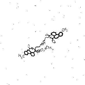 CS(=O)(=O)O.Cc1ccc2cc3c4c(cccc4c2c1)C(=O)N(CCCCNCCCN1C(=O)c2cccc4c2c(cc2ccc(C)cc24)C1=O)C3=O